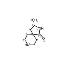 C[C@H]1CC2(CCNCC2)C(=O)N1